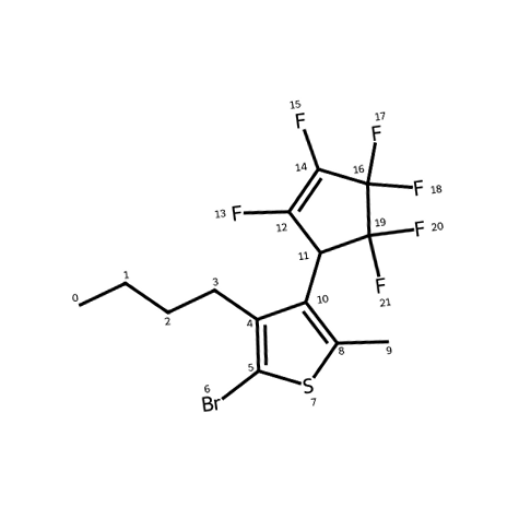 CCCCc1c(Br)sc(C)c1C1C(F)=C(F)C(F)(F)C1(F)F